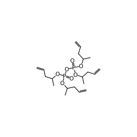 C=CCC(C)OP(=O)(OC(C)CC=C)OP(=O)(OC(C)CC=C)OC(C)CC=C